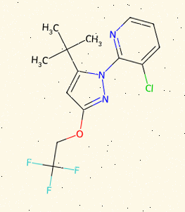 CC(C)(C)c1cc(OCC(F)(F)F)nn1-c1ncccc1Cl